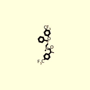 C[C@H](C(=O)N(C)CC[C@@H](Oc1ccc(C(F)(F)F)cc1)c1ccccc1)c1ccc(C(F)(F)F)cc1